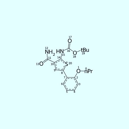 CCCOc1ccccc1-c1cc(C(N)=O)c(NC(=O)OC(C)(C)C)s1